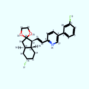 Fc1cccc(-c2ccc(/C=C/[C@H]3[C@@H]4CC[C@H](F)C[C@H]4CC34OCCO4)nc2)c1